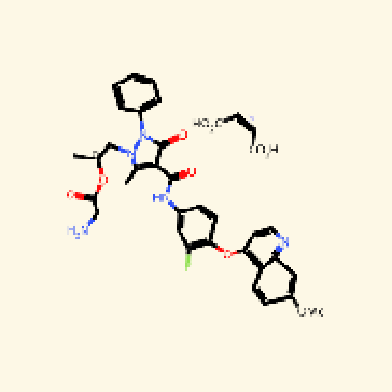 COc1ccc2c(Oc3ccc(NC(=O)c4c(C)n(C[C@H](C)OC(=O)CN)n(-c5ccccc5)c4=O)cc3F)ccnc2c1.O=C(O)/C=C\C(=O)O